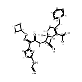 O=CNc1nc(/C(=N/OC2CSC2)C(=O)NC2C(=O)N3C(C(=O)[O-])=C(C[n+]4ccccc4)CS[C@H]23)cs1